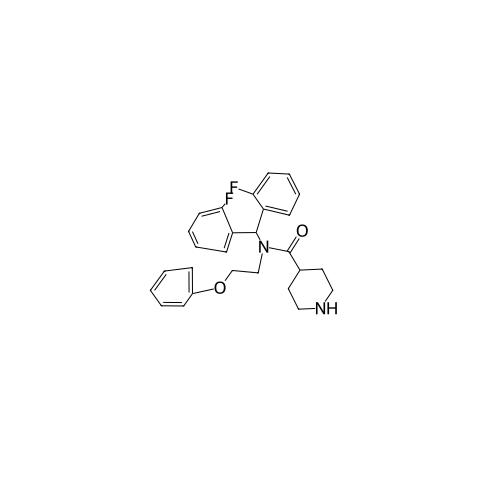 O=C(C1CCNCC1)N(CCOc1ccccc1)C(c1ccccc1F)c1ccccc1F